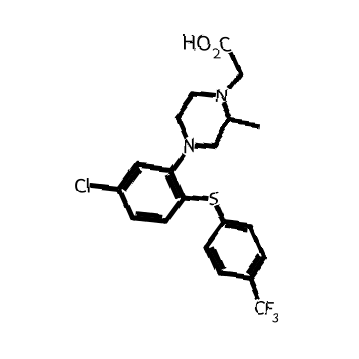 CC1CN(c2cc(Cl)ccc2Sc2ccc(C(F)(F)F)cc2)CCN1CC(=O)O